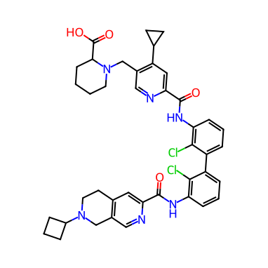 O=C(Nc1cccc(-c2cccc(NC(=O)c3cc(C4CC4)c(CN4CCCCC4C(=O)O)cn3)c2Cl)c1Cl)c1cc2c(cn1)CN(C1CCC1)CC2